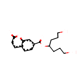 O=C(OC(CCCO)CCCO)c1ccc2ccc(=O)oc2c1